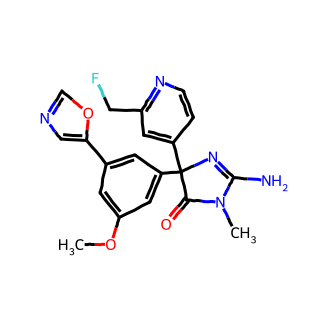 COc1cc(-c2cnco2)cc(C2(c3ccnc(CF)c3)N=C(N)N(C)C2=O)c1